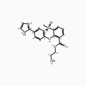 CS(=O)(=O)c1cccc(C(=O)OCCO)c1Oc1ccc(-c2ncc[nH]2)cc1